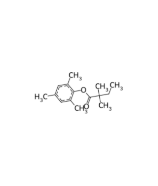 CCC(C)(C)C(=O)Oc1c(C)cc(C)cc1C